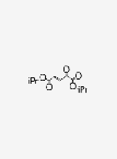 CC(C)OC(=O)C=CC(=O)C(=O)OC(C)C